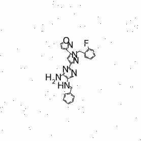 Nc1nc(-c2cc(-c3ccon3)n(Cc3ccccc3F)n2)ncc1NCc1ccccc1